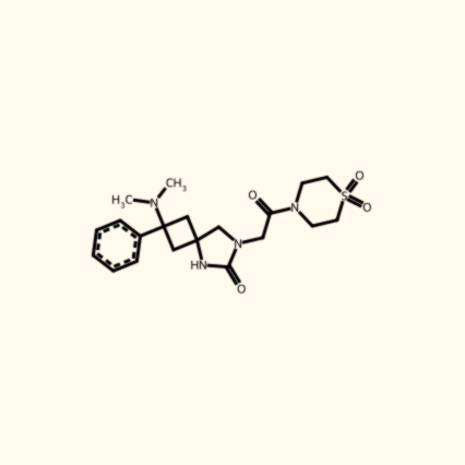 CN(C)C1(c2ccccc2)CC2(CN(CC(=O)N3CCS(=O)(=O)CC3)C(=O)N2)C1